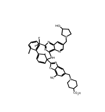 Cc1ccccc1C1=CC=CC(Nc2nc(C(F)F)nc3cc(CN4CCC(O)C4)cnc23)(c2nc3cc(CN4CCC(C(=O)O)CC4)cc(C#N)c3o2)C1C